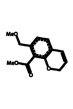 COCc1ccc2c(c1C(=O)OC)OCC=C2